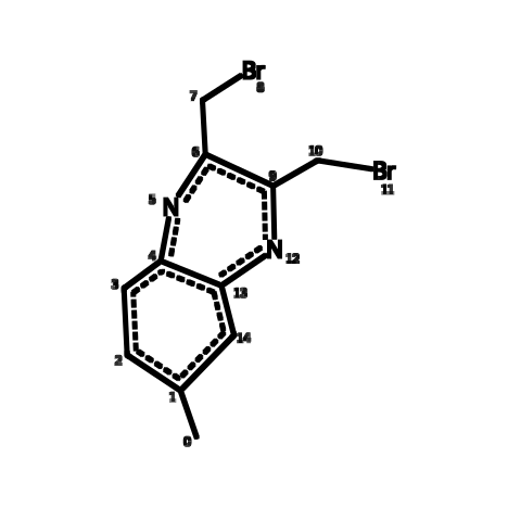 Cc1ccc2nc(CBr)c(CBr)nc2c1